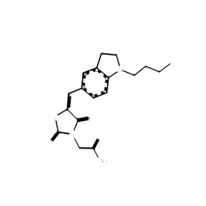 CCCCN1CCc2cc(/C=C3/SC(=S)N(CC(=O)O)C3=O)ccc21